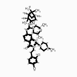 C[C@H]1[C@@H](NC(=Nc2ccc3c(=O)n(CCc4ccc(Cl)cc4Cl)c(N4CCN(C)CC4)nc3c2)N2C[C@@H](C)O[C@@H](C)C2)C[C@H]2C[C@H]1C2(C)C